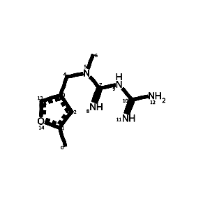 Cc1cc(CN(C)C(=N)NC(=N)N)co1